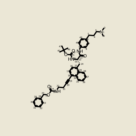 CN(C)CCCc1ccc(NC(=O)[C@H](Cc2ccc(C#CCCNC(=O)OCc3ccccc3)c3ccccc23)NC(=O)OC(C)(C)C)cc1